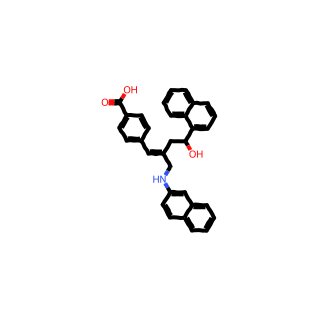 O=C(O)c1ccc(C=C(CNc2ccc3ccccc3c2)CC(O)c2cccc3ccccc23)cc1